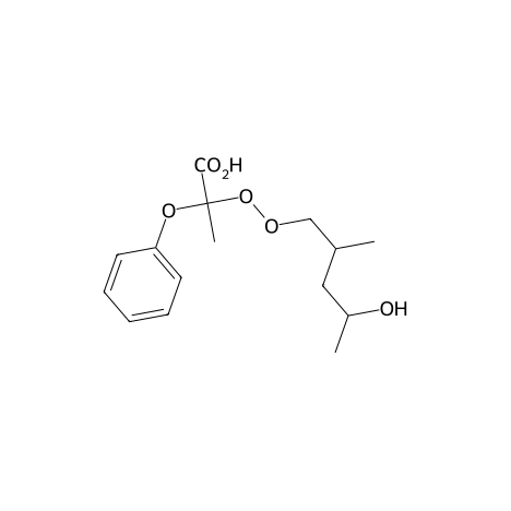 CC(O)CC(C)COOC(C)(Oc1ccccc1)C(=O)O